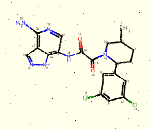 CC1CCC(c2cc(Cl)cc(Cl)c2)N(C(=O)C(=O)Nc2cnc(N)c3cn[nH]c23)C1